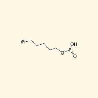 CC(C)CCCCCO[P](=O)O